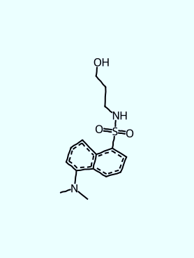 CN(C)c1cccc2c(S(=O)(=O)NCCCO)cccc12